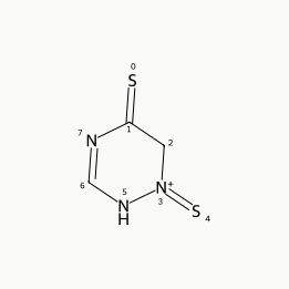 S=C1C[N+](=S)NC=N1